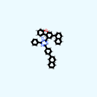 c1ccc(C2N=C(c3ccc(-c4ccc5ccccc5c4)cc3)N=C(c3cc(-c4cccc5ccccc45)cc4oc5ccccc5c34)N2)cc1